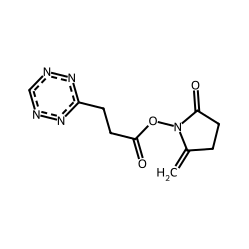 C=C1CCC(=O)N1OC(=O)CCc1nncnn1